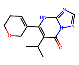 CC(C)c1c(C2=CCCOC2)[nH]c2ncnn2c1=O